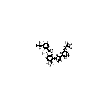 Cc1ccc(NC(=O)c2cccc(C(F)(F)F)c2)cc1N1CC(c2cncc(OC3COC3)c2)C=N1